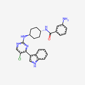 Nc1cccc(C(=O)N[C@H]2CC[C@H](Nc3ncc(Cl)c(-c4c[nH]c5ccccc45)n3)CC2)c1